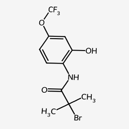 CC(C)(Br)C(=O)Nc1ccc(OC(F)(F)F)cc1O